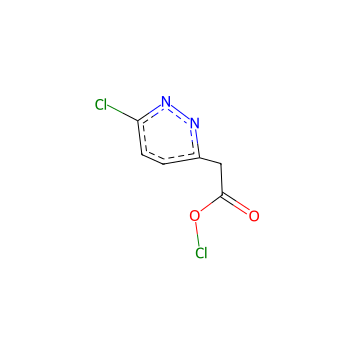 O=C(Cc1ccc(Cl)nn1)OCl